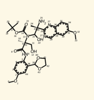 COc1ccc(NC(=O)[C@](C)(CO)N(C(=O)OC(C)(C)C)C(O)[C@](C)(N)c2ncc3cc(OC)ccc3n2)c(C2OCCO2)c1